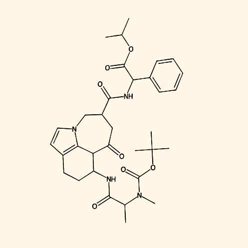 CC(C)OC(=O)C(NC(=O)C1CC(=O)C2c3c(ccn3C1)CCC2NC(=O)C(C)N(C)C(=O)OC(C)(C)C)c1ccccc1